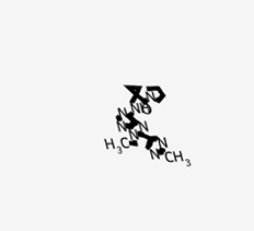 CCn1c(-c2cnc(C)nc2)nc2c(NCC3(C(=O)N4CCCC4)CC3)ncnc21